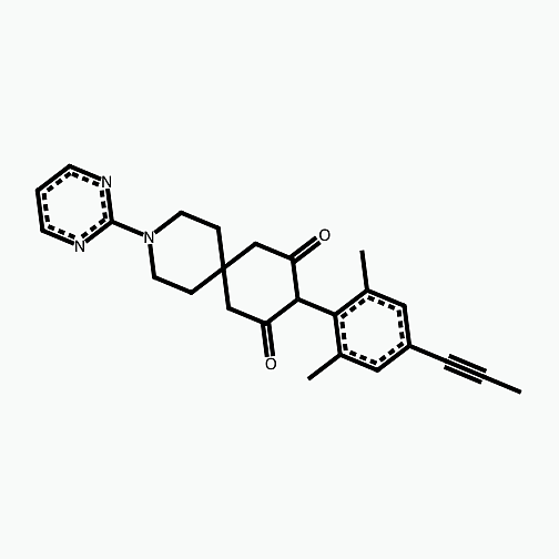 CC#Cc1cc(C)c(C2C(=O)CC3(CCN(c4ncccn4)CC3)CC2=O)c(C)c1